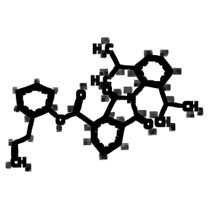 C=CCc1ccccc1OC(=O)c1cccc2c1C(=O)N(c1c(C(C)C)cccc1C(C)C)C2=O